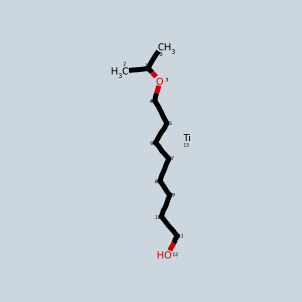 CC(C)OCCCCCCCCO.[Ti]